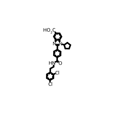 O=C(O)c1ccc2c(c1)nc(-c1ccc(C(=O)NCCc3ccc(Cl)cc3Cl)cc1)n2C1CCCC1